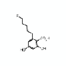 O=C(O)c1c(O)cc(O)cc1CCCCCF